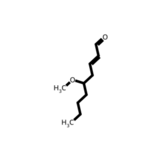 CCCCC(C/C=C/C=O)OC